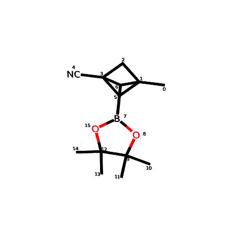 CC12CC(C#N)(C1)C2B1OC(C)(C)C(C)(C)O1